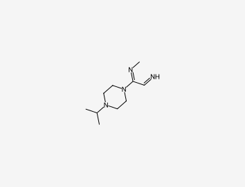 CN=C(C=N)N1CCN(C(C)C)CC1